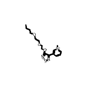 CCCCOCCOCCOc1nsnc1-c1ccc[n+](C)c1